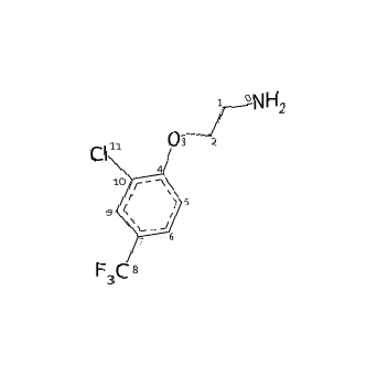 NCCOc1ccc(C(F)(F)F)cc1Cl